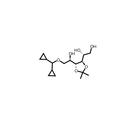 CC1(C)O[C@H]([C@H](O)CO)[C@@H]([C@H](O)COC(C2CC2)C2CC2)O1